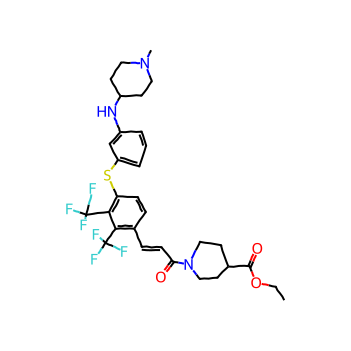 CCOC(=O)C1CCN(C(=O)/C=C/c2ccc(Sc3cccc(NC4CCN(C)CC4)c3)c(C(F)(F)F)c2C(F)(F)F)CC1